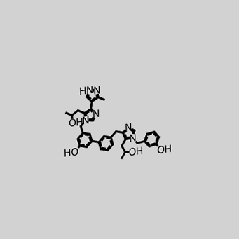 Cc1n[nH]cc1-c1ncn(Cc2cc(O)cc(-c3cccc(Cc4ncn(Cc5cccc(O)c5)c4CC(C)O)c3)c2)c1CC(C)O